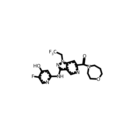 O=C(c1cc2c(cn1)c(Nc1cc(O)c(F)cn1)nn2CC(F)(F)F)N1CCCOCC1